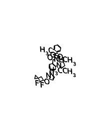 Cc1ccccc1S(=O)(=O)NC(=O)c1ccc(-n2ccc(OC3CC4(CC4)C3(F)F)n2)cc1N1C[C@@H](C)CC1(C)C